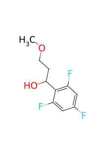 COCCC(O)c1c(F)cc(F)cc1F